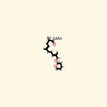 COC(=O)C(CC=C(C)CCC=C(C)COC1CCCCO1)C(C)=O